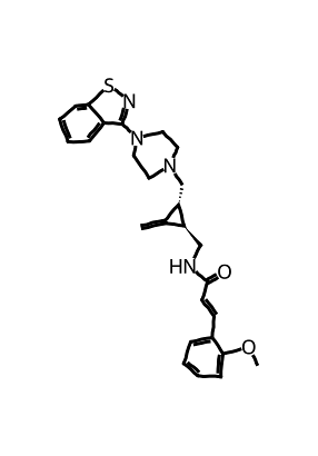 C=C1[C@H](CNC(=O)/C=C/c2ccccc2OC)[C@H]1CN1CCN(c2nsc3ccccc23)CC1